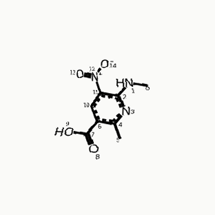 CNc1nc(C)c(C(=O)O)cc1[N+](=O)[O-]